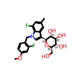 COc1ccc(Cn2cc([C@@H]3O[C@H](CO)[C@@H](O)[C@H](O)[C@H]3O)c3cc(C)cc(F)c32)c(F)c1